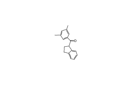 Cc1cc(C)cc(C(=O)C2CCc3ccccc32)c1